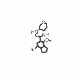 COc1c(C(=O)N[C@H]2CCOC[C@@H]2O)cc(Br)c2c1CCC2